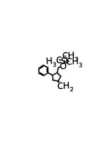 C=C1CC(CO[Si](C)(C)C)C(c2ccccc2)C1